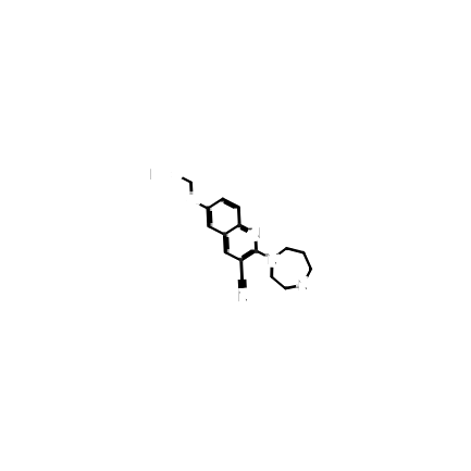 CCOc1ccc2nc(N3CCCNCC3)c(C#N)cc2c1